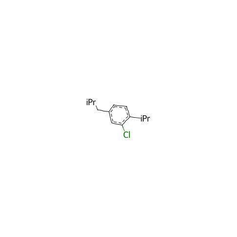 CC(C)Cc1ccc(C(C)C)c(Cl)c1